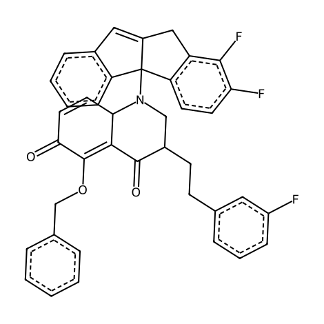 O=C1C=CC2C(=C1OCc1ccccc1)C(=O)C(CCc1cccc(F)c1)CN2C12C(=Cc3ccccc31)Cc1c2ccc(F)c1F